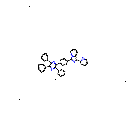 c1ccc(-c2nc(-c3ccccc3)c(-c3ccc(-c4nc(-c5ccccn5)c5ccccn45)cc3)nc2-c2ccccc2)cc1